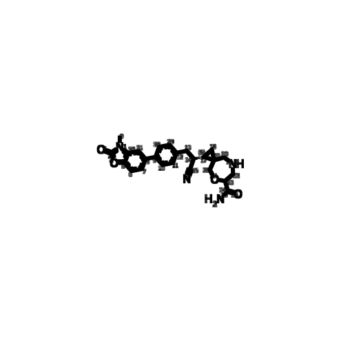 Cn1c(=O)oc2ccc(-c3ccc(CC(C#N)[C@@H]4CC45CNCC(C(N)=O)OC5)cc3)cc21